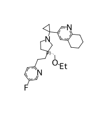 CCOC[C@]1(CCc2ccc(F)cn2)CCN(C2(c3cnc4c(c3)CCCC4)CC2)C1